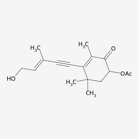 CC(=O)OC1CC(C)(C)C(C#CC(C)=CCO)=C(C)C1=O